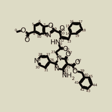 COC(=O)c1ccc2oc(C(=O)C(=Cc3ccccc3)NC(=O)Cn3c(-c4ccncc4)nc(N)c(C(=O)OCc4ccccc4)c3=O)nc2c1